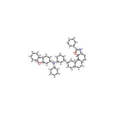 c1ccc(-c2nc3ccc4ccc5ccc(-c6cccc(N(c7ccccc7)c7ccc8c(c7)oc7ccccc78)c6)cc5c4c3o2)cc1